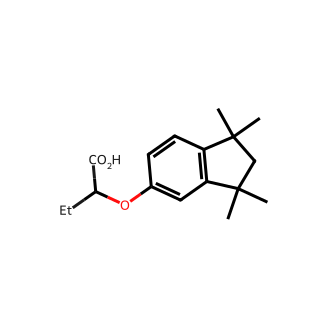 CCC(Oc1ccc2c(c1)C(C)(C)CC2(C)C)C(=O)O